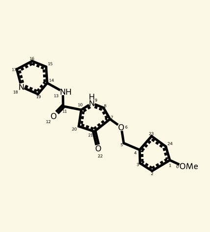 COc1ccc(COc2c[nH]c(C(=O)Nc3cccnc3)cc2=O)cc1